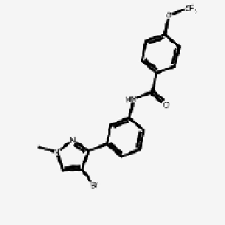 Cn1cc(Br)c(-c2cccc(NC(=O)c3ccc(OC(F)(F)F)cc3)c2)n1